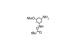 COc1cc(N)cc(NOC(=O)C(C)(C)C)c1